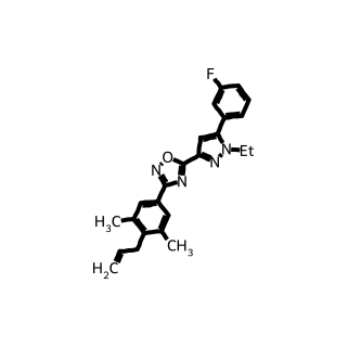 C=CCc1c(C)cc(-c2noc(-c3cc(-c4cccc(F)c4)n(CC)n3)n2)cc1C